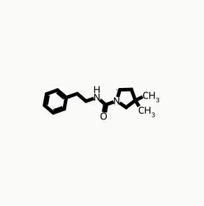 CC1(C)C[CH]N(C(=O)NCCc2ccccc2)C1